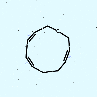 [CH]1/C=C\C=C/CC/C=C\CC1